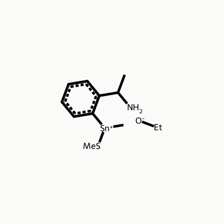 CC[O-].C[S][Sn+]([CH3])[c]1ccccc1C(C)N